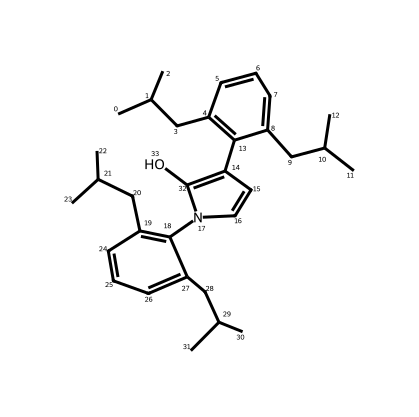 CC(C)Cc1cccc(CC(C)C)c1-c1ccn(-c2c(CC(C)C)cccc2CC(C)C)c1O